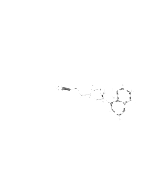 N#CCCC1CC(c2cccc3ccccc23)=NO1